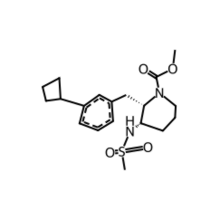 COC(=O)N1CCC[C@H](NS(C)(=O)=O)[C@@H]1Cc1cccc(C2CCC2)c1